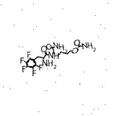 NC(=O)OCCCC[C@H](NC(=O)[C@@H](N)Cc1c(F)c(F)c(F)c(F)c1F)C(N)=O